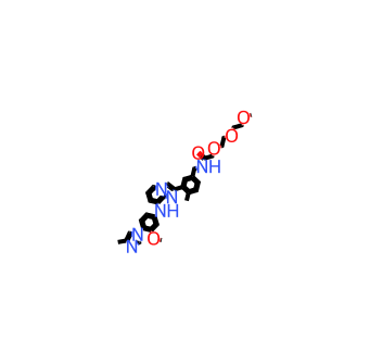 COCCOCCOCC(=O)NCc1ccc(C)c(-c2cn3cccc(Nc4ccc(-n5cnc(C)c5)c(OC)c4)c3n2)c1